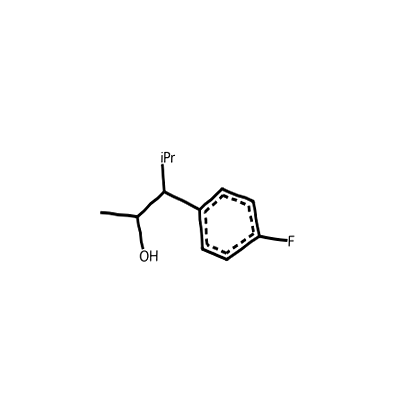 CC(C)C(c1ccc(F)cc1)C(C)O